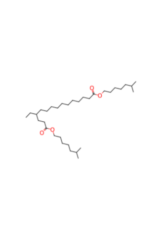 CCC(CCCCCCCCCCC(=O)OCCCCCC(C)C)CCC(=O)OCCCCCC(C)C